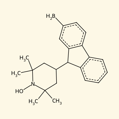 Bc1ccc2c(c1)C(C1CC(C)(C)N(O)C(C)(C)C1)c1ccccc1-2